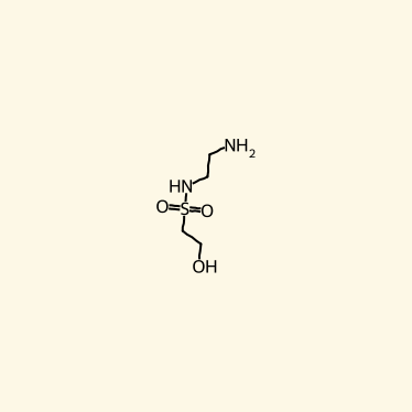 NCCNS(=O)(=O)CCO